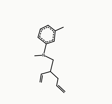 C=CCC(C=C)CN(C)c1cccc(C)c1